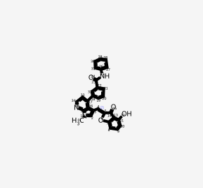 Cn1cc(/C=C2\Oc3cccc(O)c3C2=O)c2c(-c3cccc(C(=O)Nc4ccccc4)c3)ccnc21